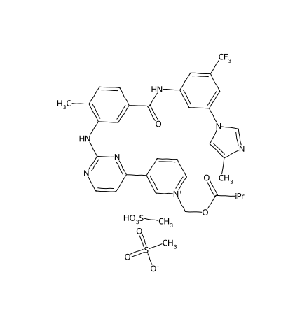 CS(=O)(=O)O.CS(=O)(=O)[O-].Cc1cn(-c2cc(NC(=O)c3ccc(C)c(Nc4nccc(-c5ccc[n+](COC(=O)C(C)C)c5)n4)c3)cc(C(F)(F)F)c2)cn1